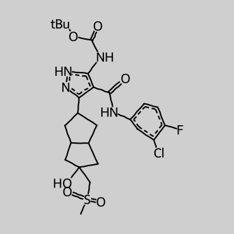 CC(C)(C)OC(=O)Nc1[nH]nc(C2CC3CC(O)(CS(C)(=O)=O)CC3C2)c1C(=O)Nc1ccc(F)c(Cl)c1